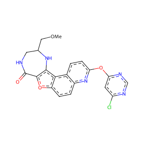 COCC1CNC(=O)c2oc3ccc4nc(Oc5cc(Cl)ncn5)ccc4c3c2N1